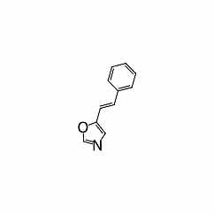 C(=Cc1cnco1)c1ccccc1